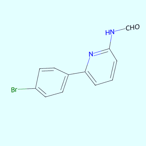 O=CNc1cccc(-c2ccc(Br)cc2)n1